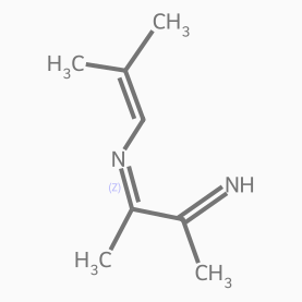 CC(=N)/C(C)=N\C=C(C)C